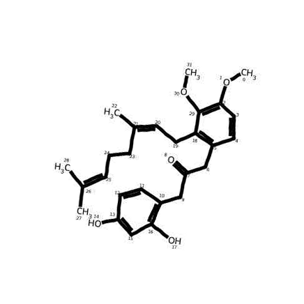 COc1ccc(CC(=O)Cc2ccc(O)cc2O)c(CC=C(C)CCC=C(C)C)c1OC